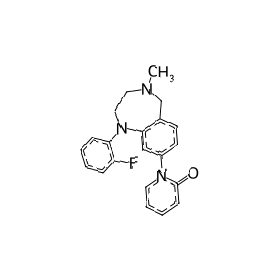 CN1CCN(c2ccccc2F)c2cc(-n3ccccc3=O)ccc2C1